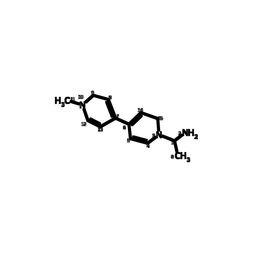 CC(N)N1C=CC(C2=CCN(C)C=C2)=CC1